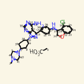 CC(=O)O.CN1CCN(C2CCC(n3nc(-c4ccc(NC5COc6cccc(Cl)c65)cc4)c4c(N)ncnc43)CC2)CC1